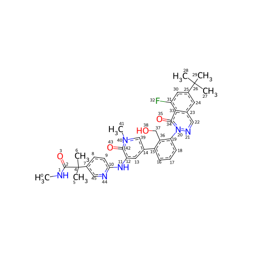 CNC(=O)C(C)(C)c1ccc(Nc2cc(-c3cccc(-n4ncc5cc(C(C)(C)C)cc(F)c5c4=O)c3CO)cn(C)c2=O)nc1